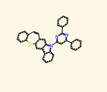 C1=Cc2cc3c(cc2Sc2ccccc21)c1ccccc1n3-c1cc(-c2ccccc2)nc(-c2ccccc2)n1